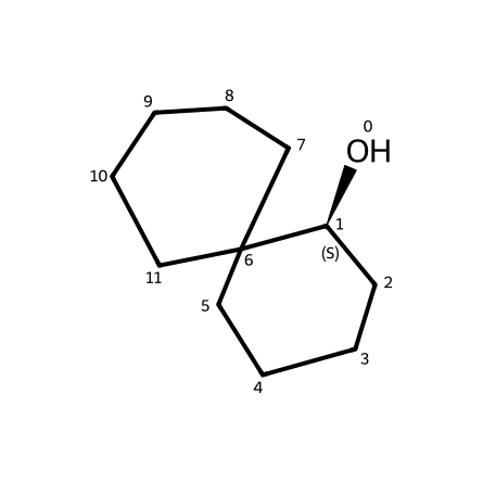 O[C@H]1CCCCC12CCCCC2